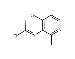 C/C(Cl)=N\c1c(Cl)ccnc1C